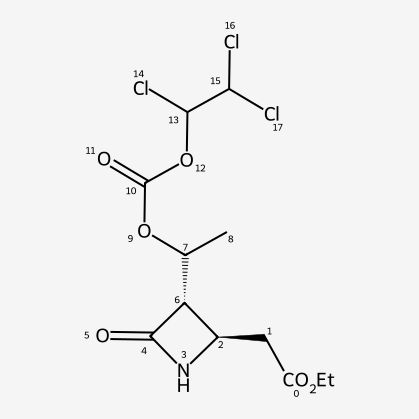 CCOC(=O)C[C@H]1NC(=O)[C@@H]1C(C)OC(=O)OC(Cl)C(Cl)Cl